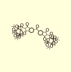 CC1(C)O[C@H]2O[C@@H](C(=O)C3C(=O)c4ccc(C(=O)c5ccc6c(c5)C(=O)C(C(=O)[C@@H]5O[C@@H]7OC(C)(C)O[C@@H]7[C@H]7OC(C)(C)O[C@@H]75)C6=O)cc4C3=O)[C@H]3OC(C)(C)O[C@@H]3[C@H]2O1